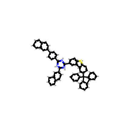 c1ccc(C2(c3ccc4sc5ccc(-c6nc(-c7ccc(-c8ccc9ccccc9c8)cc7)nc(-c7ccc8ccccc8c7)n6)cc5c4c3)c3ccccc3-c3ccccc32)cc1